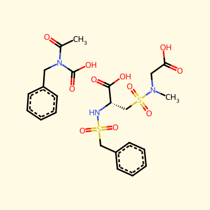 CC(=O)N(Cc1ccccc1)C(=O)O.CN(CC(=O)O)S(=O)(=O)C[C@H](NS(=O)(=O)Cc1ccccc1)C(=O)O